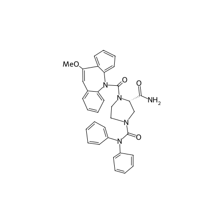 COC1=Cc2ccccc2N(C(=O)N2CCN(C(=O)N(c3ccccc3)c3ccccc3)C[C@H]2C(N)=O)c2ccccc21